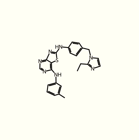 CCc1nccn1Cc1ccc(Nc2nc3ncnc(Nc4cccc(C)c4)c3s2)cc1